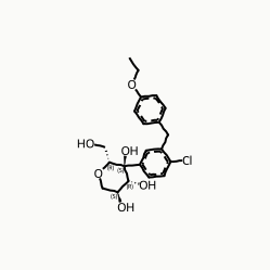 CCOc1ccc(Cc2cc([C@]3(O)[C@H](O)[C@@H](O)CO[C@@H]3CO)ccc2Cl)cc1